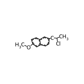 COc1ccc2cc(CC(C)Cl)ccc2c1